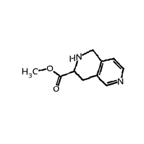 COC(=O)C1Cc2cnccc2CN1